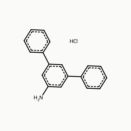 Cl.Nc1cc(-c2ccccc2)cc(-c2ccccc2)c1